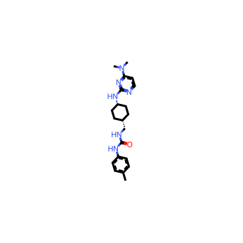 Cc1ccc(NC(=O)NC[C@H]2CC[C@@H](Nc3nccc(N(C)C)n3)CC2)cc1